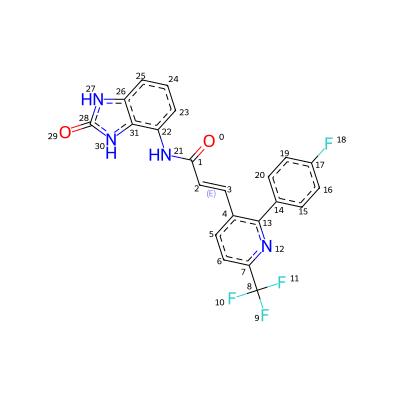 O=C(/C=C/c1ccc(C(F)(F)F)nc1-c1ccc(F)cc1)Nc1cccc2[nH]c(=O)[nH]c12